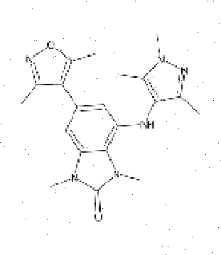 Cc1nn(C)c(C)c1Nc1cc(-c2c(C)noc2C)cc2c1n(C)c(=O)n2C